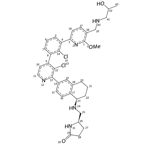 COc1nc(-c2cccc(-c3ccnc(-c4ccc5c(c4)CCC[C@H]5NC[C@H]4CCC(=O)N4)c3Cl)c2Cl)ccc1CNCC(C)O